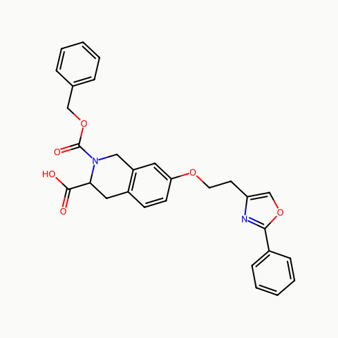 O=C(O)C1Cc2ccc(OCCc3coc(-c4ccccc4)n3)cc2CN1C(=O)OCc1ccccc1